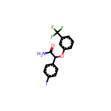 NC(=O)C(Oc1cccc(C(F)(F)F)c1)c1ccc(I)cc1